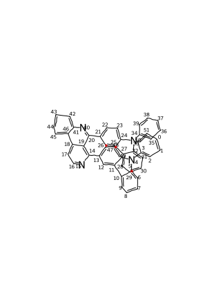 c1ccc(-n2c3ccccc3c3cc(-c4nccc5c4c(-c4ccc6c(c4)c4ccccc4n6-c4ccccc4)nc4ccccc45)ccc32)cc1